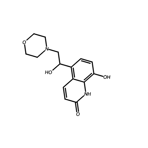 O=c1ccc2c(C(O)CN3CCOCC3)ccc(O)c2[nH]1